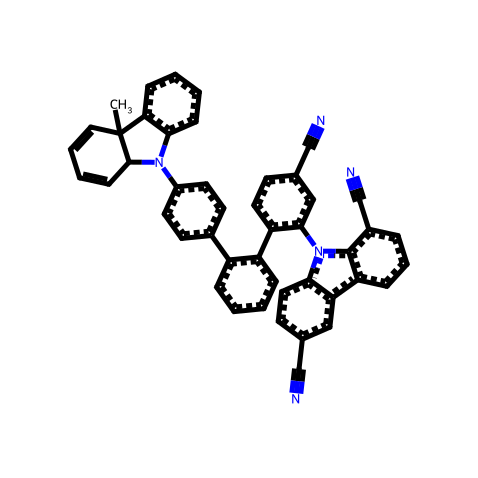 CC12C=CC=CC1N(c1ccc(-c3ccccc3-c3ccc(C#N)cc3-n3c4ccc(C#N)cc4c4cccc(C#N)c43)cc1)c1ccccc12